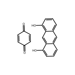 O=C1C=CC(=O)C=C1.Oc1cccc2cc3cccc(O)c3cc12